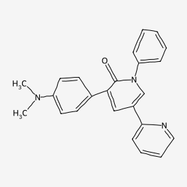 CN(C)c1ccc(-c2cc(-c3ccccn3)cn(-c3ccccc3)c2=O)cc1